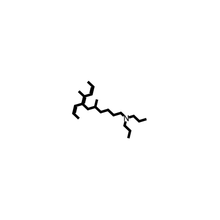 C\C=C/C(C)=C(/C=C\C)CC(C)CCCCN(CCC)CCC